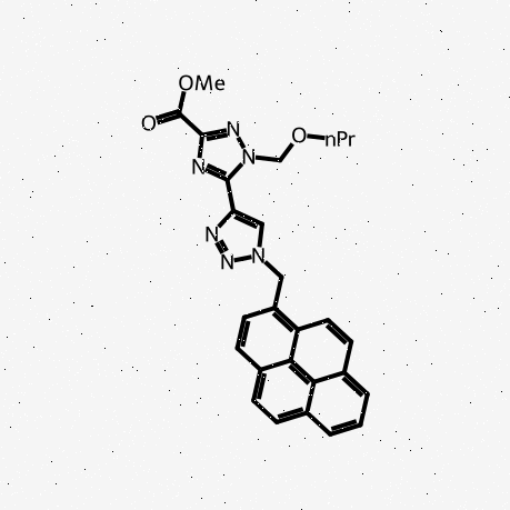 CCCOCn1nc(C(=O)OC)nc1-c1cn(Cc2ccc3ccc4cccc5ccc2c3c45)nn1